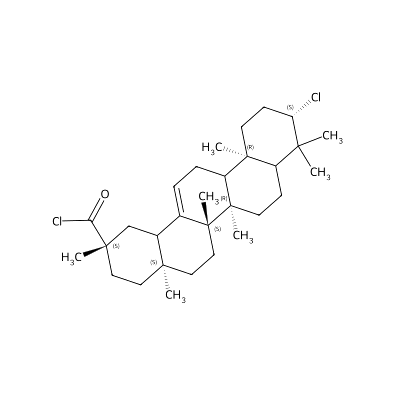 CC1(C)C2CC[C@]3(C)C(CC=C4C5C[C@@](C)(C(=O)Cl)CC[C@]5(C)CC[C@]43C)[C@@]2(C)CC[C@@H]1Cl